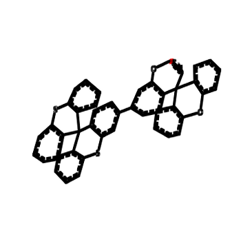 c1ccc2c(c1)Oc1ccccc1C21c2ccccc2Oc2cc(-c3ccc4c(c3)Sc3ccccc3C43c4ccccc4Sc4ccccc43)ccc21